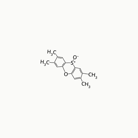 Cc1cc2c(cc1C)[S+]([O-])c1cc(C)c(C)cc1O2